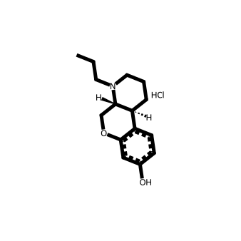 CCCN1CCC[C@H]2c3ccc(O)cc3OC[C@@H]21.Cl